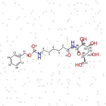 O=C(CCCCCNC(=O)OCc1ccccc1)N[C@@H]1O[C@H](CO)[C@@H](O)[C@H](O)[C@@H]1O